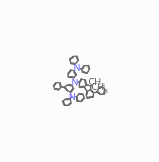 CC1(C)c2ccc(N(c3cccc(N(c4ccccc4)c4ccccc4)c3)c3cc(-c4ccccc4)cc(N(c4ccccc4)c4ccccc4)c3)cc2-c2cccc(-c3ccccc3)c21